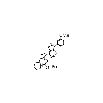 COc1cccc(-n2ncc3c(N/N=C/C4CCCCN4C(=O)OC(C)(C)C)ncnc32)c1